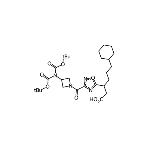 CC(C)(C)OC(=O)N(C(=O)OC(C)(C)C)C1CN(C(=O)c2noc(C(CCCC3CCCCC3)CC(=O)O)n2)C1